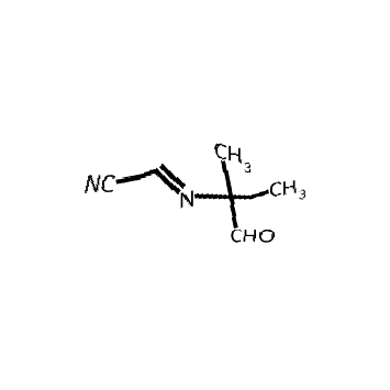 CC(C)(C=O)N=CC#N